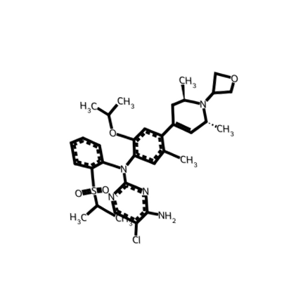 Cc1cc(N(c2ncc(Cl)c(N)n2)c2ccccc2S(=O)(=O)C(C)C)c(OC(C)C)cc1C1=C[C@@H](C)N(C2COC2)[C@H](C)C1